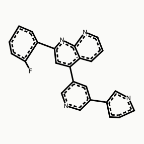 Fc1ccccc1-c1cc(-c2cncc(-c3cccnc3)c2)c2cccnc2n1